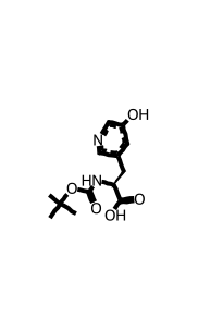 CC(C)(C)OC(=O)N[C@@H](Cc1cncc(O)c1)C(=O)O